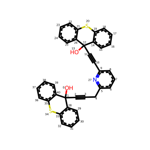 OC1(C#CCc2cccc(C#CC3(O)c4ccccc4Sc4ccccc43)n2)c2ccccc2Sc2ccccc21